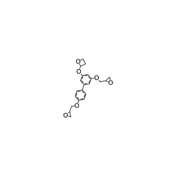 c1cc(-c2cc(OCC3CO3)cc(OC3CCO3)c2)ccc1OCC1CO1